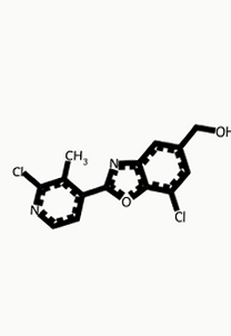 Cc1c(-c2nc3cc(CO)cc(Cl)c3o2)ccnc1Cl